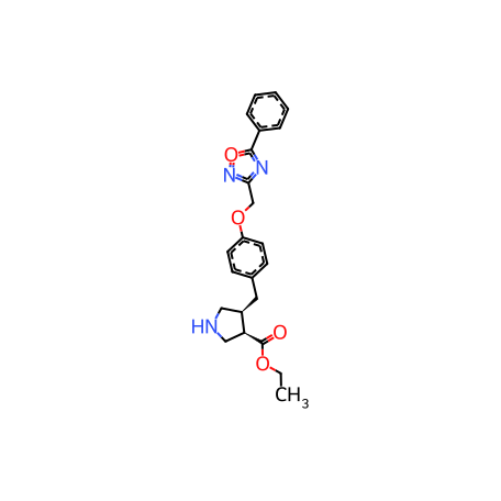 CCOC(=O)[C@H]1CNC[C@H]1Cc1ccc(OCc2noc(-c3ccccc3)n2)cc1